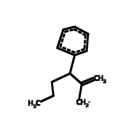 [CH2]C(=C)C(CCC)c1ccccc1